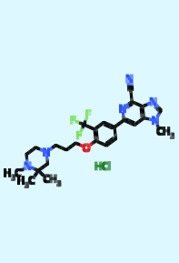 CN1CCN(CCCOc2ccc(-c3cc4c(ncn4C)c(C#N)n3)cc2C(F)(F)F)CC1(C)C.Cl